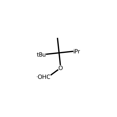 CC(C)C(C)(O[C]=O)C(C)(C)C